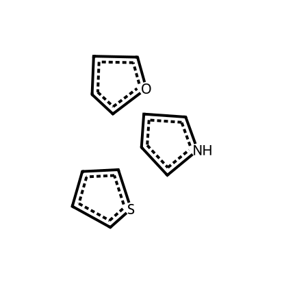 c1cc[nH]c1.c1ccoc1.c1ccsc1